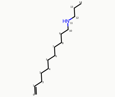 C=CCCCCCCCCCNCCC